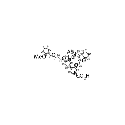 COc1ccccc1COCCCOc1ccc(C2CCN(C(=O)O)CC2OCCOc2ccccc2CCN(C)C(C)=O)cc1